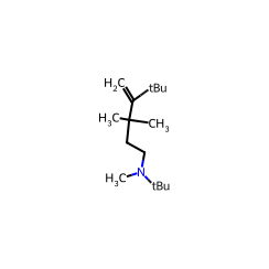 C=C(C(C)(C)C)C(C)(C)CCN(C)C(C)(C)C